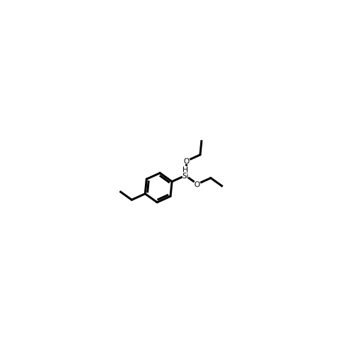 CCO[SiH](OCC)c1ccc(CC)cc1